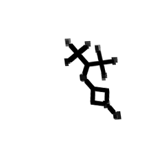 FC(F)(F)C(OC1CN(Cl)C1)C(F)(F)F